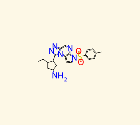 CCC1CC(N)CC1c1nnc2cnc3c(ccn3S(=O)(=O)c3ccc(C)cc3)n12